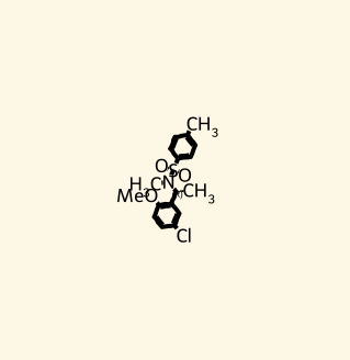 COc1ccc(Cl)cc1[C@@H](C)N(C)S(=O)(=O)c1ccc(C)cc1